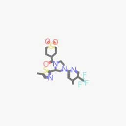 Cc1cnc(C2CN(C3=CC(C)C(C(F)(F)F)C=N3)CCN2C(=O)C2CCS(=O)(=O)CC2)s1